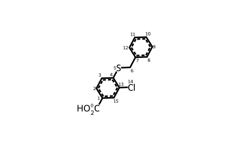 O=C(O)c1ccc(SCc2ccccc2)c(Cl)c1